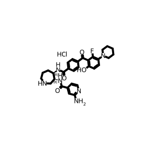 Cl.Nc1cc(C(=O)N[C@@H]2CNCCC[C@H]2NC(=O)c2ccc(C(=O)c3c(O)ccc(N4CCCCC4)c3F)cc2)ccn1